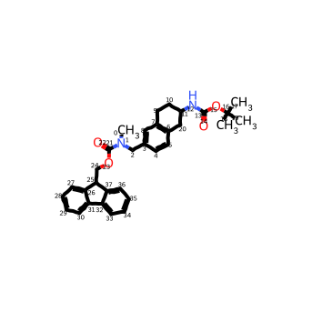 CN(Cc1ccc2c(c1)CCC(NC(=O)OC(C)(C)C)C2)C(=O)OCC1c2ccccc2-c2ccccc21